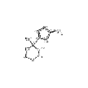 CCC1(c2nnc(N)s2)OCCCO1